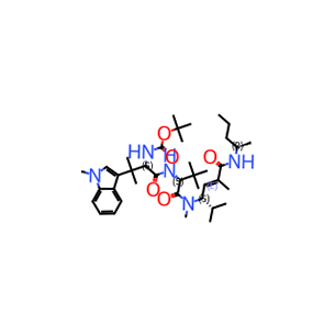 CCC[C@@H](C)NC(=O)/C(C)=C/[C@H](C(C)C)N(C)C(=O)[C@@H](NC(=O)[C@@H](NC(=O)OC(C)(C)C)C(C)(C)c1cn(C)c2ccccc12)C(C)(C)C